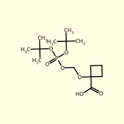 CC(C)(C)OP(=O)(OCOC1(C(=O)O)CCC1)OC(C)(C)C